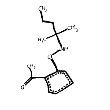 CCCC(C)(C)NOc1ccccc1C(C)=O